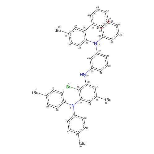 CC(C)(C)c1ccc(N(c2ccc(C(C)(C)C)cc2)c2cc(C(C)(C)C)cc(Nc3cccc(N(c4ccccc4)c4ccc(C(C)(C)C)cc4-c4ccccc4)c3)c2Br)cc1